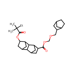 CCC(C)(C)C(=O)OC1CC2CC1C1C3CC(CC3C(=O)OCOCC3CC4CCC3C4)C21